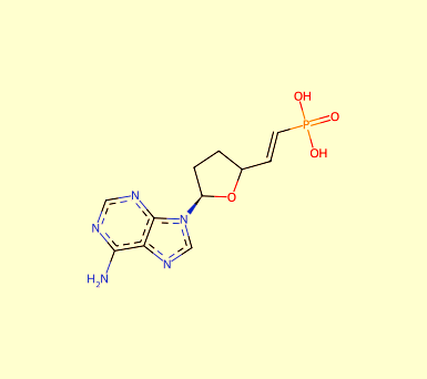 Nc1ncnc2c1ncn2[C@H]1CCC(/C=C/P(=O)(O)O)O1